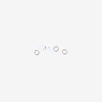 Cc1cc(F)ccc1C(C)N1CC2CC1CN2C(=O)Nc1ccc(Oc2ccccc2)cc1